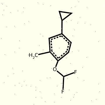 [CH2]c1cc(C2CC2)ccc1OC(F)F